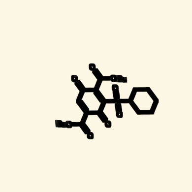 CC(C)COC(=O)C1=CC(=O)C(C(=O)OCC(C)C)=C(S(=O)(=O)C2CCCCC2)C1=O